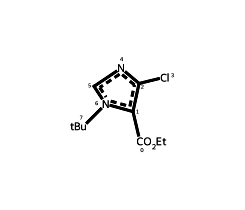 CCOC(=O)c1c(Cl)ncn1C(C)(C)C